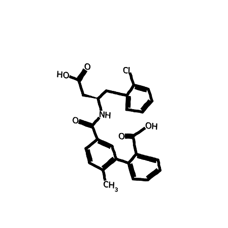 Cc1ccc(C(=O)N[C@@H](CC(=O)O)Cc2ccccc2Cl)cc1-c1ccccc1C(=O)O